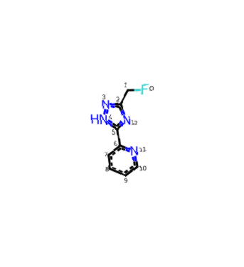 FCc1n[nH]c(-c2ccccn2)n1